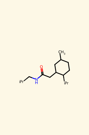 CC(C)CNC(=O)CC1CC(C)CCC1C(C)C